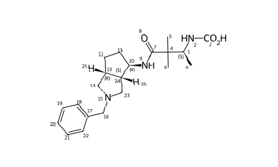 C[C@H](NC(=O)O)C(C)(C)C(=O)N[C@@H]1CC[C@H]2CN(Cc3ccccc3)C[C@H]21